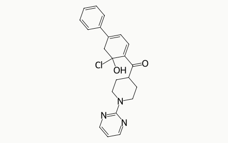 O=C(C1=CC=C(c2ccccc2)CC1(O)Cl)C1CCN(c2ncccn2)CC1